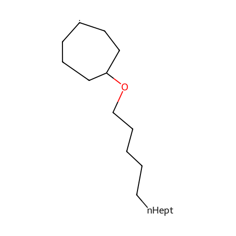 [CH2]CCCCCCCCCCCOC1CC[CH]CCC1